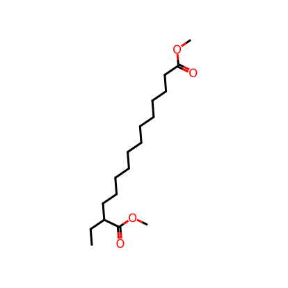 CCC(CCCCCCCCCCCC(=O)OC)C(=O)OC